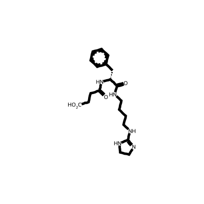 O=C(O)CCC(=O)N[C@H](Cc1ccccc1)C(=O)NCCCCNC1=NCCN1